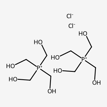 OC[P+](CO)(CO)CO.OC[P+](CO)(CO)CO.[Cl-].[Cl-]